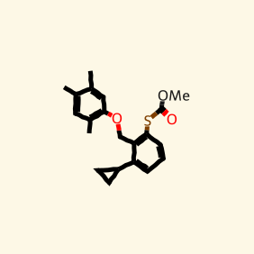 COC(=O)Sc1cccc(C2CC2)c1COc1cc(C)c(C)cc1C